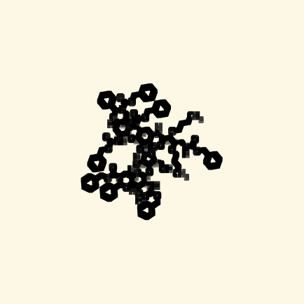 CCCCO[C@H](C(=O)N[C@@H]1C[C@H](NC(=O)OCc2ccccc2)[C@@H](O[C@H]2O[C@@H]3CN(C(=O)OCc4ccccc4)C(c4ccccc4)O[C@H]3C[C@H]2NC(=O)OCc2ccccc2)[C@H](O[C@@H]2O[C@H](CO)[C@@H](O[C@H]3O[C@H]4CN(C(=O)OCc5ccccc5)C(c5ccccc5)O[C@H]4[C@H](O)[C@H]3NC(=O)OCc3ccccc3)[C@H]2O)[C@H]1O)[C@@H](CNC(=O)OCc1ccccc1)OCCCC